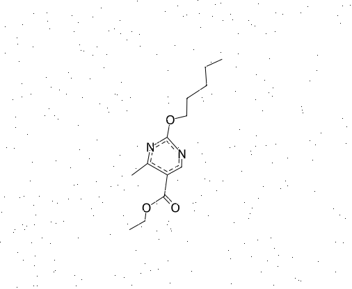 CCCCCOc1ncc(C(=O)OCC)c(C)n1